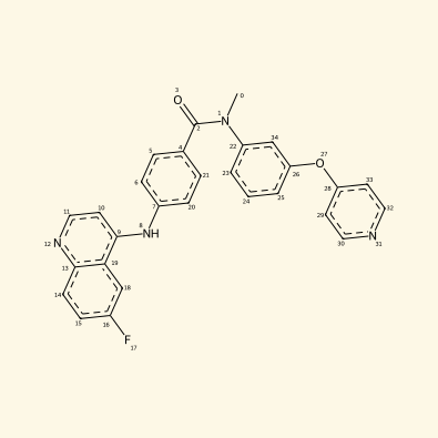 CN(C(=O)c1ccc(Nc2ccnc3ccc(F)cc23)cc1)c1cccc(Oc2ccncc2)c1